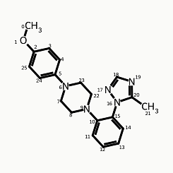 COc1ccc(N2CCN(c3ccccc3-n3ncnc3C)CC2)cc1